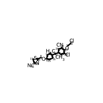 CC(C)(c1ccc(OCc2nc(C#N)cs2)cc1)c1cc(Cl)c(OCCCl)c(C#N)c1